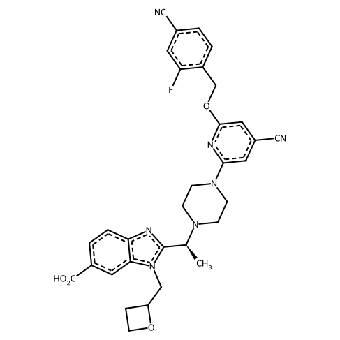 C[C@@H](c1nc2ccc(C(=O)O)cc2n1CC1CCO1)N1CCN(c2cc(C#N)cc(OCc3ccc(C#N)cc3F)n2)CC1